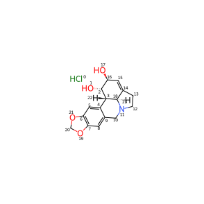 Cl.O[C@H]1[C@H]2c3cc4c(cc3CN3CCC(=C[C@@H]1O)[C@H]23)OCO4